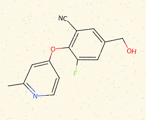 Cc1cc(Oc2c(F)cc(CO)cc2C#N)ccn1